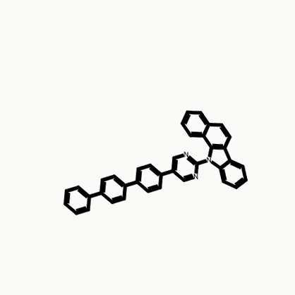 c1ccc(-c2ccc(-c3ccc(-c4cnc(-n5c6ccccc6c6ccc7ccccc7c65)nc4)cc3)cc2)cc1